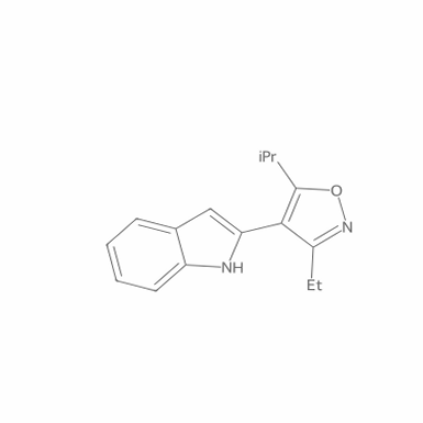 CCc1noc(C(C)C)c1-c1cc2ccccc2[nH]1